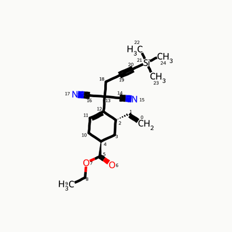 C=C[C@@H]1C[C@@H](C(=O)OCC)CC=C1C(C#N)(C#N)CC#C[Si](C)(C)C